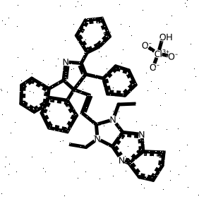 CCN1c2nc3ccccc3nc2N(CC)C1C=CC1(c2ccccc2)C(c2ccccc2)=NC(c2ccccc2)=C1c1ccccc1.[O-][Cl+3]([O-])([O-])O